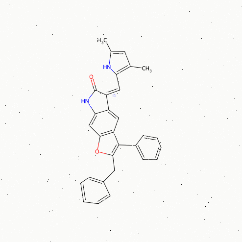 Cc1cc(C)c(/C=C2\C(=O)Nc3cc4oc(Cc5ccccc5)c(-c5ccccc5)c4cc32)[nH]1